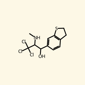 CNC(C(O)c1ccc2c(c1)SCC2)C(Cl)(Cl)Cl